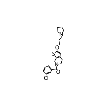 O=C(c1cccc(Cl)c1)N1CCc2cc(OCCCN3CCCC3)sc2C1